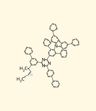 C=C/C=C\C(=C)c1cc(-c2ccccc2)cc(-c2nc(-c3ccc(-c4ccccc4)cc3)nc(-c3cc(-c4ccccc4)c(-n4c5ccc(-c6ccccc6)cc5c5cc(-c6ccccc6)ccc54)c(-c4ccccc4)c3)n2)c1